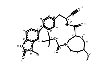 CO[C@H]1CCN(C(=O)OC(C)(C)C)C[C@@H](C(=O)N[C@H](C#N)Cc2ccc(-c3ccc4oc(=O)n(C)c4c3)cc2)OC1